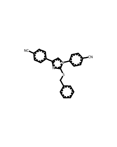 N#Cc1ccc(-c2cn(-c3ccc(C#N)cc3)c(SCc3ccccc3)n2)cc1